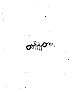 O=C(NC(=S)Nc1ccc(SC(F)(F)F)cc1)c1cc2ccccc2o1